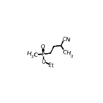 CCOP(C)(=O)CCC(C)C#N